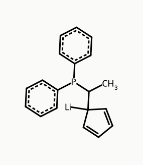 [Li][C]1(C(C)P(c2ccccc2)c2ccccc2)C=CC=C1